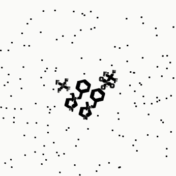 C[N+]1(Cc2ccccc2)C=CN=C1.C[N+]1(Cc2ccccc2)C=CN=C1.F[B-](F)(F)F.O=S(=O)([O-])C(F)(F)F